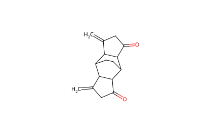 C=C1CC(=O)C2C3CCC(C12)C1C(=C)CC(=O)C31